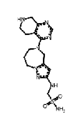 NS(=O)(=O)CNc1cc2n(n1)CCCN(c1ncnc3c1CCNC3)C2